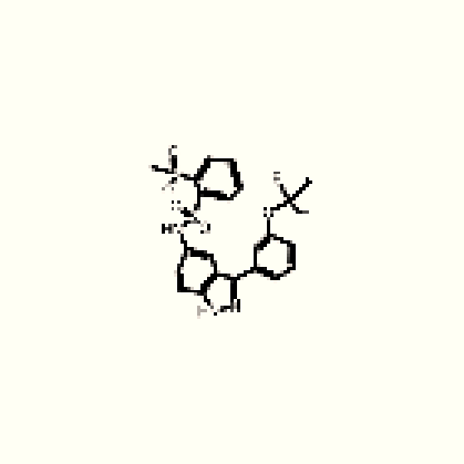 CS(=O)(=O)c1ccccc1S(=O)(=O)Nc1ccc2[nH]nc(-c3cccc(OC(F)(F)F)c3)c2c1